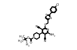 CC(C)(C)OC(=O)N1CCC(c2c(C#N)c(N)nc(SCc3csc(-c4ccc(Cl)cc4)n3)c2C#N)CC1